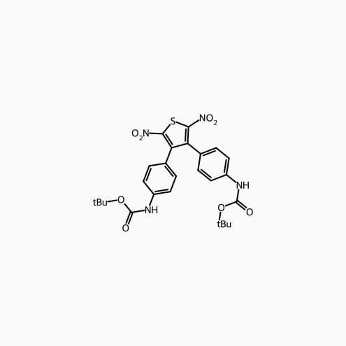 CC(C)(C)OC(=O)Nc1ccc(-c2c([N+](=O)[O-])sc([N+](=O)[O-])c2-c2ccc(NC(=O)OC(C)(C)C)cc2)cc1